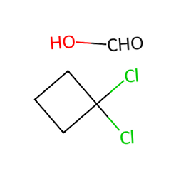 ClC1(Cl)CCC1.O=CO